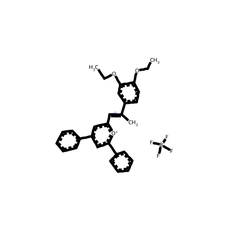 CCOc1ccc(/C(C)=C/c2cc(-c3ccccc3)cc(-c3ccccc3)[o+]2)cc1OCC.F[B-](F)(F)F